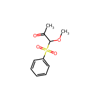 COC(C(C)=O)S(=O)(=O)c1ccccc1